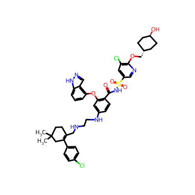 CC1(C)CCC(CNCCNc2ccc(C(=O)NS(=O)(=O)c3cnc(OC[C@H]4CC[C@H](O)CC4)c(Cl)c3)c(Oc3cccc4[nH]ncc34)c2)=C(c2ccc(Cl)cc2)C1